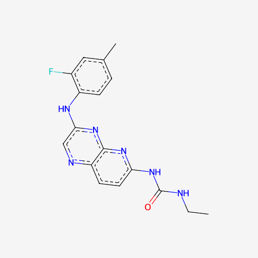 CCNC(=O)Nc1ccc2ncc(Nc3ccc(C)cc3F)nc2n1